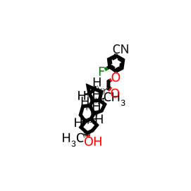 C[C@@]1(O)CC[C@H]2[C@H](CC[C@@H]3[C@@H]2CC[C@@]2(C)[C@H]3[C@@H]3C[C@@H]3[C@@H]2C(=O)COc2ccc(C#N)cc2F)C1